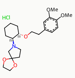 COc1ccc(CCO[C@H]2CCCC[C@@H]2N2CCC3(C2)OCCO3)cc1OC.Cl